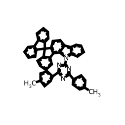 Cc1ccc(-c2nc(-c3ccc(C)cc3)nc(-n3c4ccccc4c4ccc5c(c43)-c3ccccc3C53c4ccccc4-c4ccccc43)n2)cc1